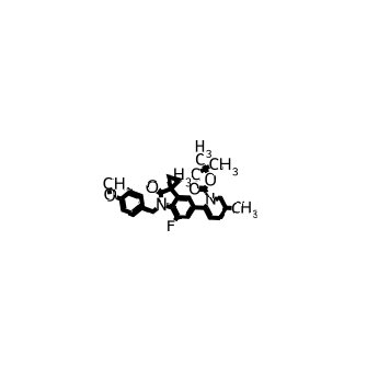 COc1ccc(CN2C(=O)C3(CC3)c3cc(C4=CCC(C)CN4C(=O)OC(C)(C)C)cc(F)c32)cc1